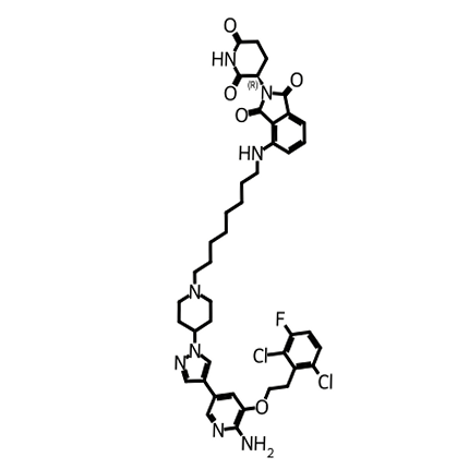 Nc1ncc(-c2cnn(C3CCN(CCCCCCCCNc4cccc5c4C(=O)N([C@@H]4CCC(=O)NC4=O)C5=O)CC3)c2)cc1OCCc1c(Cl)ccc(F)c1Cl